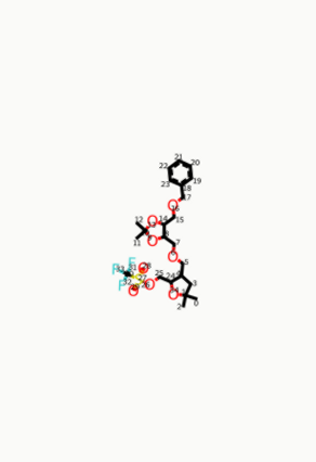 CC1(C)CC(COCC2OC(C)(C)OC2COCc2ccccc2)C(COS(=O)(=O)C(F)(F)F)O1